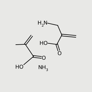 C=C(C)C(=O)O.C=C(CN)C(=O)O.N